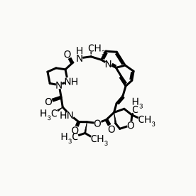 CC(C)[C@@H]1OC(=O)[C@@]2(/C=C/c3ccc4ccc(nc4c3)[C@@H](C)NC(=O)C3CCCN(N3)C(=O)[C@H](C)NC1=O)CCOC(C)(C)C2